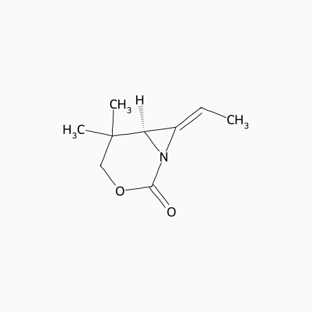 C/C=C1/[C@H]2N1C(=O)OCC2(C)C